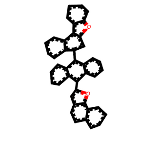 c1ccc2c(c1)ccc1cc(-c3c4ccccc4c(-c4cc5oc6ccccc6c5c5ccccc45)c4ccccc34)oc12